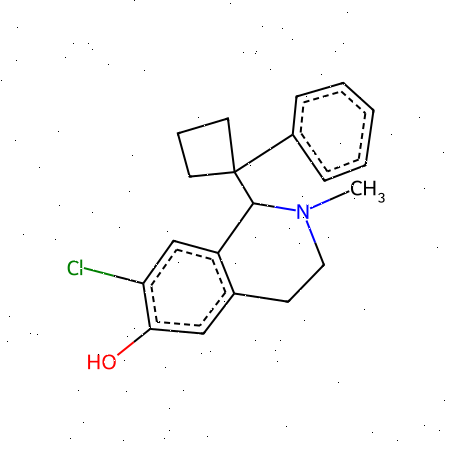 CN1CCc2cc(O)c(Cl)cc2C1C1(c2ccccc2)CCC1